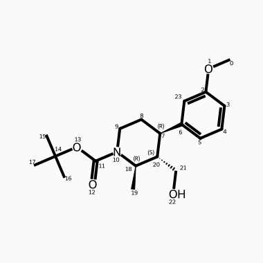 COc1cccc([C@@H]2CCN(C(=O)OC(C)(C)C)[C@H](C)[C@H]2CO)c1